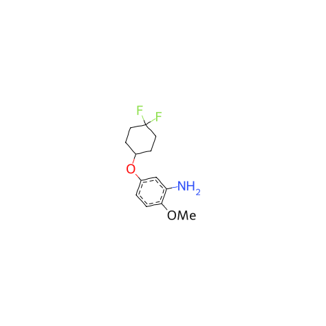 COc1ccc(OC2CCC(F)(F)CC2)cc1N